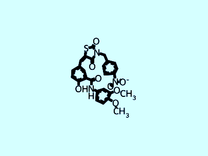 COc1ccc(NC(=O)c2cc(C=C3SC(=O)N(Cc4ccc([N+](=O)[O-])cc4)C3=O)ccc2O)cc1OC